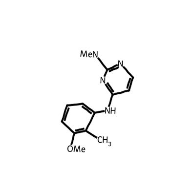 CNc1nccc(Nc2cccc(OC)c2C)n1